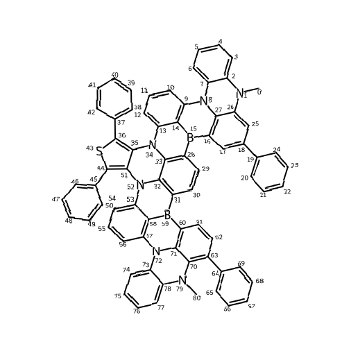 CN1c2ccccc2N2c3cccc4c3B(c3cc(-c5ccccc5)cc1c32)c1ccc2c3c1N4c1c(-c4ccccc4)sc(-c4ccccc4)c1N3c1cccc3c1B2c1ccc(-c2ccccc2)c2c1N3c1ccccc1N2C